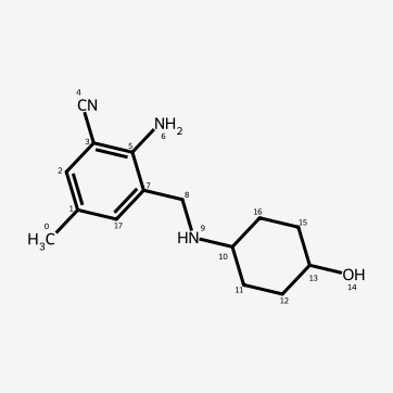 Cc1cc(C#N)c(N)c(CNC2CCC(O)CC2)c1